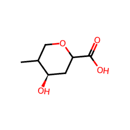 CC1COC(C(=O)O)C[C@H]1O